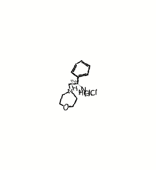 Cl.Cl.N[C@H](CN1CCOCC1)c1ccccc1